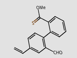 C=Cc1ccc(-c2ccccc2C(=S)OC)c(C=O)c1